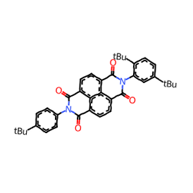 CC(C)(C)c1ccc(N2C(=O)c3ccc4c5c(ccc(c35)C2=O)C(=O)N(c2cc(C(C)(C)C)ccc2C(C)(C)C)C4=O)cc1